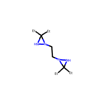 CCC1(CC)NN1CCN1NC1(CC)CC